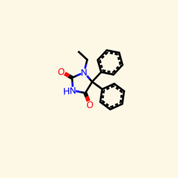 CCN1C(=O)NC(=O)C1(c1ccccc1)c1ccccc1